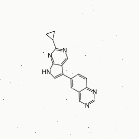 c1ncc2cc(-c3c[nH]c4nc(C5CC5)ncc34)ccc2n1